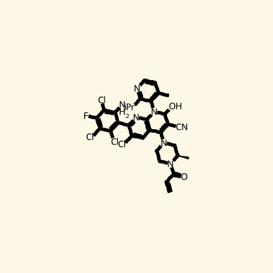 C=CC(=O)N1CCN(C2=C(C#N)C(O)N(c3c(C)ccnc3C(C)C)c3nc(-c4c(N)c(Cl)c(F)c(Cl)c4Cl)c(Cl)cc32)C[C@H]1C